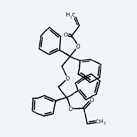 C=CC(=O)OC(COCC(OC(=O)C=C)(c1ccccc1)c1ccccc1)(c1ccccc1)c1ccccc1